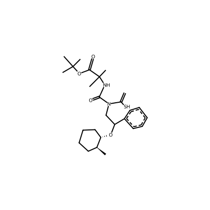 C=C(S)N(CC(O[C@H]1CCCC[C@@H]1C)c1ccccc1)C(=O)NC(C)(C)C(=O)OC(C)(C)C